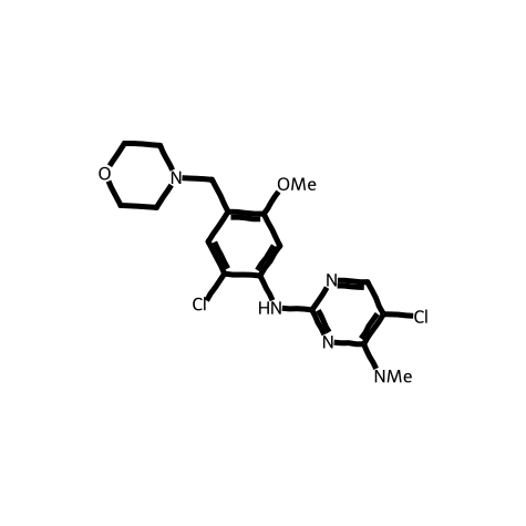 CNc1nc(Nc2cc(OC)c(CN3CCOCC3)cc2Cl)ncc1Cl